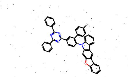 FC(F)(F)c1ccc(-c2cc(-c3nc(-c4ccccc4)nc(-c4ccccc4)n3)ccc2-n2c3ccccc3c3cc4c(cc32)oc2ccccc24)cc1